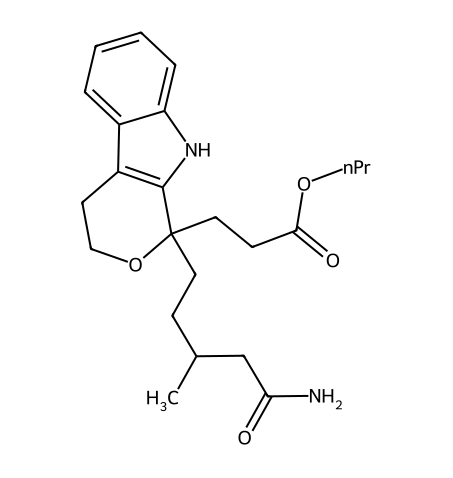 CCCOC(=O)CCC1(CCC(C)CC(N)=O)OCCc2c1[nH]c1ccccc21